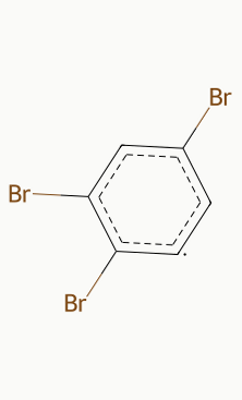 Brc1c[c]c(Br)c(Br)c1